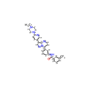 CN1CCN(c2ccc(-c3cnn4c(-c5cccc(NC(=O)c6cccc(C(F)(F)F)c6)c5)ccnc34)cn2)CC1